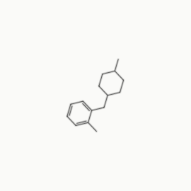 Cc1ccccc1CC1CCC(C)CC1